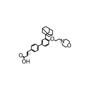 O=C(O)/C=C/c1ccc(-c2ccc(OCCN3CCOCC3)c(C34CC5CC(CC(C5)C3)C4)c2)cc1